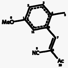 COc1ccc(C)c(/C=C(\C#N)C(C)=O)c1